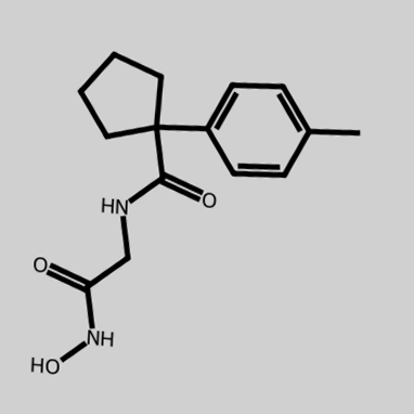 Cc1ccc(C2(C(=O)NCC(=O)NO)CCCC2)cc1